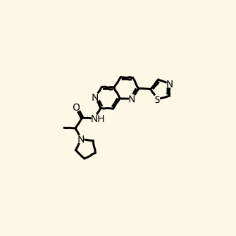 CC(C(=O)Nc1cc2nc(-c3cncs3)ccc2cn1)N1CCCC1